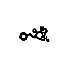 CC[C@H](CCc1ccccc1)C(=O)C1=NCCO1